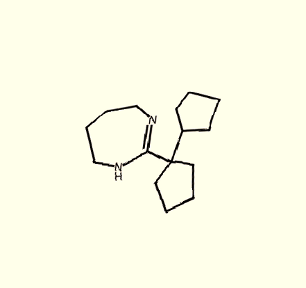 C1CCNC(C2(C3CCCC3)CCCC2)=NC1